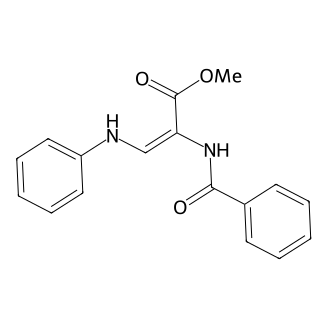 COC(=O)/C(=C\Nc1ccccc1)NC(=O)c1ccccc1